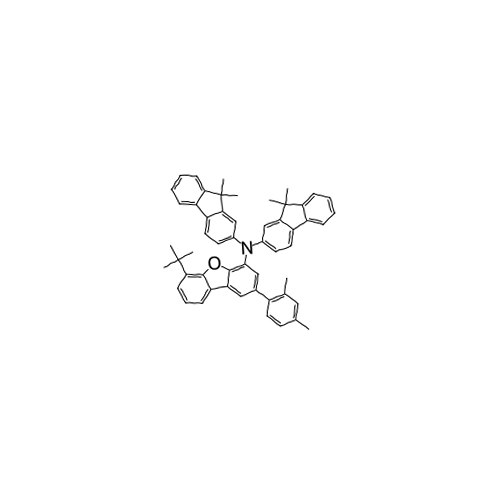 Cc1ccc(-c2cc(N(c3ccc4c(c3)C(C)(C)c3ccccc3-4)c3ccc4c(c3)C(C)(C)c3ccccc3-4)c3oc4c(C(C)(C)C)cccc4c3c2)c(C)c1